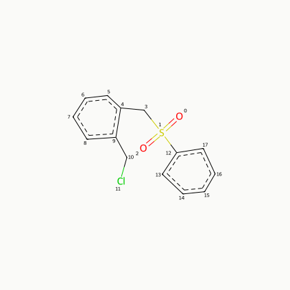 O=S(=O)(Cc1ccccc1CCl)c1ccccc1